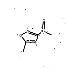 Cc1nc([PH](C)=O)no1